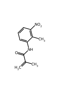 C=C(C)C(=O)Nc1cccc([N+](=O)[O-])c1C